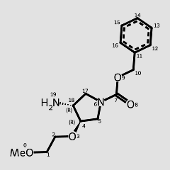 COCCO[C@@H]1CN(C(=O)OCc2ccccc2)C[C@H]1N